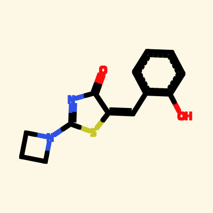 O=C1N=C(N2CCC2)SC1=Cc1ccccc1O